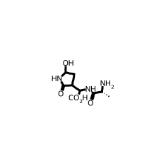 C[C@@H](N)C(=O)NC(C(=O)O)C1CC(O)NC1=O